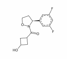 O=C(C1CC(O)C1)N1OCC[C@H]1c1cc(F)cc(F)c1